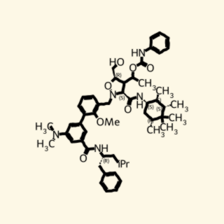 COc1c(CN2O[C@@H](CO)C(C(C)OC(=O)Nc3ccccc3)[C@H]2C(=O)N[C@H]2C[C@@H](C)C(C)(C)[C@@H](C)[C@@H]2C)cccc1-c1cc(C(=O)N[C@@H](Cc2ccccc2)CC(C)C)cc(N(C)C)c1